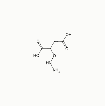 NNOC(CC(=O)O)C(=O)O